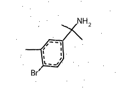 Cc1cc(C(C)(C)N)ccc1Br